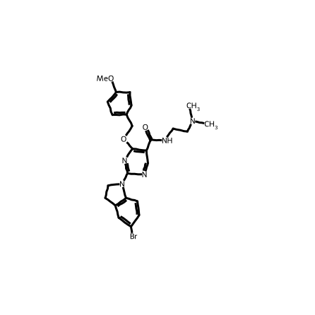 COc1ccc(COc2nc(N3CCc4cc(Br)ccc43)ncc2C(=O)NCCN(C)C)cc1